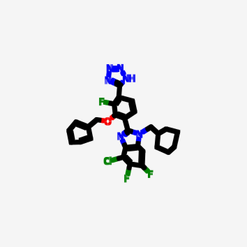 Fc1cc2c(nc(-c3ccc(-c4nnn[nH]4)c(F)c3OCc3ccccc3)n2CC2CCCCC2)c(Cl)c1F